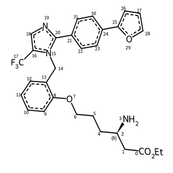 CCOC(=O)C[C@H](N)CCCOc1ccccc1Cn1c(C(F)(F)F)cnc1-c1ccc(-c2ccco2)cc1